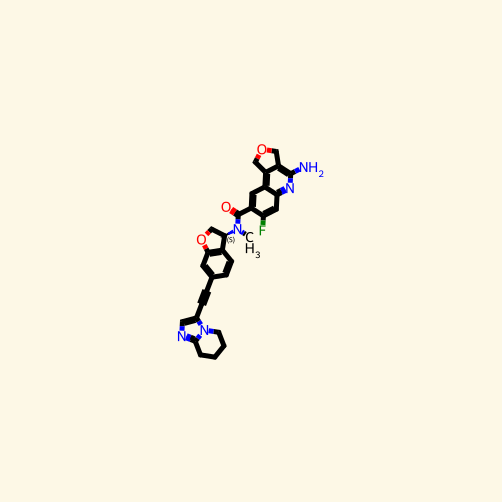 CN(C(=O)c1cc2c3c(c(N)nc2cc1F)COC3)[C@@H]1COc2cc(C#Cc3cnc4n3CCCC4)ccc21